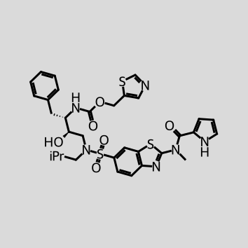 CC(C)CN(C[C@@H](O)[C@H](Cc1ccccc1)NC(=O)OCc1cncs1)S(=O)(=O)c1ccc2nc(N(C)C(=O)c3ccc[nH]3)sc2c1